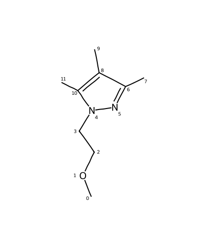 COCCn1nc(C)c(C)c1C